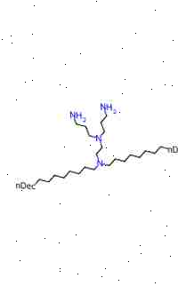 CCCCCCCCCCCCCCCCCCN(CCCCCCCCCCCCCCCCCC)CCN(CCCN)CCCN